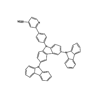 N#Cc1ccnc(-c2ccc(-n3c4ccc(-n5c6ccccc6c6ccccc65)cc4c4cc(-n5c6ccccc6c6ccccc65)ccc43)cc2)c1